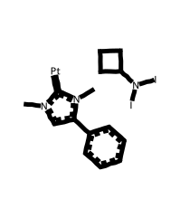 Cn1cc(-c2ccccc2)n(C)[c]1=[Pt].IN(I)C1CCC1